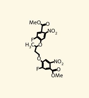 COC(=O)c1cc(F)c(OCCC(C)Oc2cc([N+](=O)[O-])c(C(=O)OC)cc2F)cc1[N+](=O)[O-]